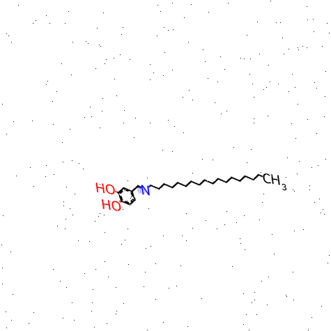 CCCCCCCCCCCCCCCCCC/N=C/c1ccc(O)c(O)c1